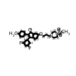 Cc1ccc(C2=C(c3cc(F)cc(F)c3)c3ccc(OCCCN4CCN(S(C)(=O)=O)CC4)cc3C2=O)cc1